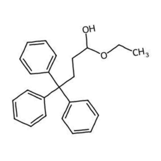 CCOC(O)CCC(c1ccccc1)(c1ccccc1)c1ccccc1